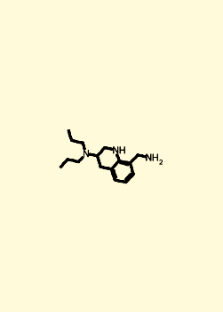 CCCN(CCC)C1CNc2c(CN)cccc2C1